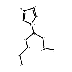 CCCCC(CSC)n1ccnc1